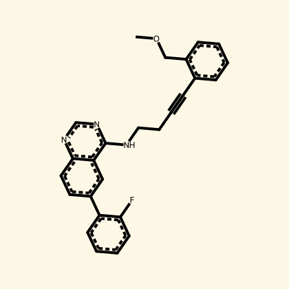 COCc1ccccc1C#CCCNc1ncnc2ccc(-c3ccccc3F)cc12